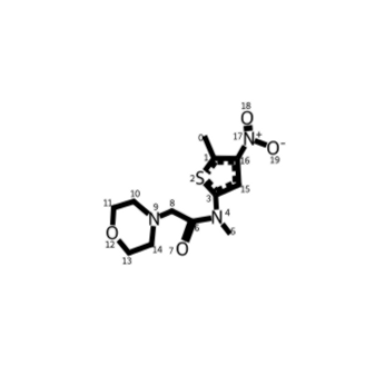 Cc1sc(N(C)C(=O)CN2CCOCC2)cc1[N+](=O)[O-]